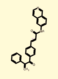 C=C(C(=O)c1ccc(/C=C/C(=O)Nc2ccc3cnccc3c2)cc1)c1ccccc1